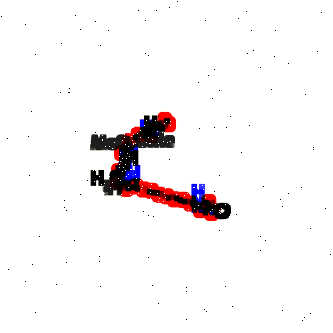 COc1cc2c(cc1OCCCOc1cc3c(cc1OC)C(=O)N1C=C(c4ccc5c(c4)OCO5)C[C@H]1C=N3)N=C[C@@H]1CC(c3ccc(NC(=O)[C@H](C)NC(=O)[C@@H](NC(=O)CCOCCOCCOCCOCCOCCOCCOCCOCCNC(=O)CCN4C(=O)CC(C5CCCCCCCCCC5)C4=O)C(C)C)cc3)=CN1C2=O